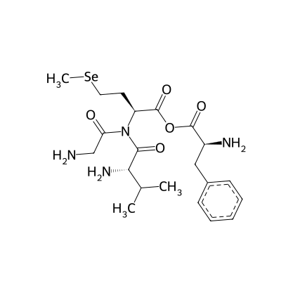 C[Se]CC[C@@H](C(=O)OC(=O)[C@@H](N)Cc1ccccc1)N(C(=O)CN)C(=O)[C@@H](N)C(C)C